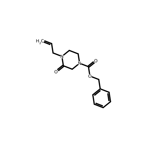 C=CCN1CCN(C(=O)OCc2ccccc2)CC1=O